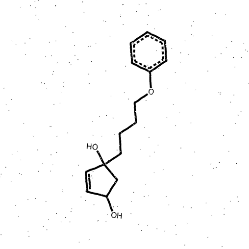 OC1C=CC(O)(CCCCOc2ccccc2)C1